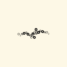 O=C(Nc1ccccc1)N(Cc1ccc(Oc2ccc([N+](=O)[O-])cc2)cc1)CC1CCC(CN(Cc2ccc(Oc3ccc([N+](=O)[O-])cc3)cc2)C(=O)Nc2ccccc2)C1